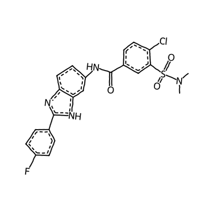 CN(C)S(=O)(=O)c1cc(C(=O)Nc2ccc3nc(-c4ccc(F)cc4)[nH]c3c2)ccc1Cl